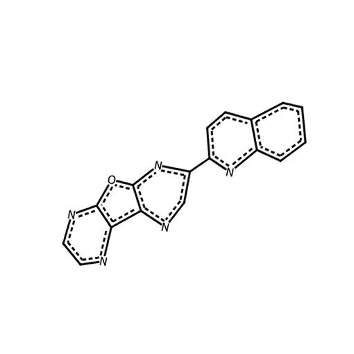 c1ccc2nc(-c3cnc4c(n3)oc3nccnc34)ccc2c1